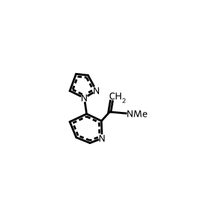 C=C(NC)c1ncccc1-n1cccn1